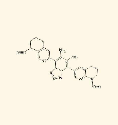 CCCCCN1CCCc2cc(C3=C(N)C(N)=C(c4ccc5c(c4)CCCN5CCCCC)C4N=S=NC34)ccc21